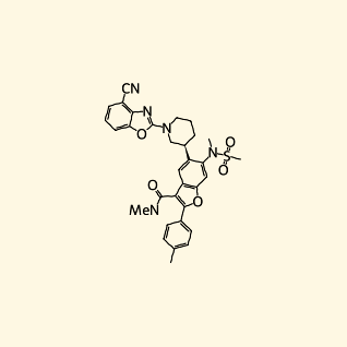 CNC(=O)c1c(-c2ccc(C)cc2)oc2cc(N(C)S(C)(=O)=O)c([C@@H]3CCCN(c4nc5c(C#N)cccc5o4)C3)cc12